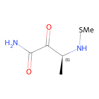 CSN[C@@H](C)C(=O)C(N)=O